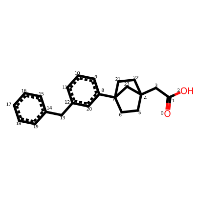 O=C(O)CC12CCC(c3cccc(Cc4ccccc4)c3)(CC1)C2